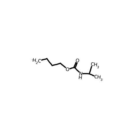 [CH2]CCCOC(=O)NC(C)C